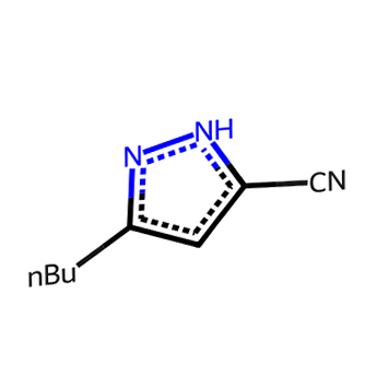 CCCCc1cc(C#N)[nH]n1